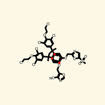 CC(CC(C)(c1ccc(OCc2ocnc2C#N)cc1)c1cc(Cl)c(OCCCl)c(Cl)c1)(c1ccc(OCc2ncc(S(C)(=O)=O)o2)cc1)c1cc(Cl)c(OCCCl)c(Cl)c1